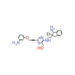 CCC1(CCNc2ncc(C#CCOc3cccc(N)c3)nc2CO)Cc2ccccc2C1N